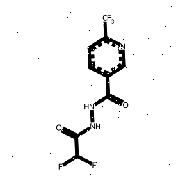 O=C(NNC(=O)C(F)F)c1ccc(C(F)(F)F)nc1